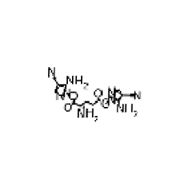 N#Cc1cnn(OC(=O)CC[C@H](N)C(=O)On2ncc(C#N)c2N)c1N